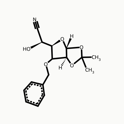 CC1(C)O[C@H]2O[C@H]([C@@H](O)C#N)C(OCc3ccccc3)[C@@H]2O1